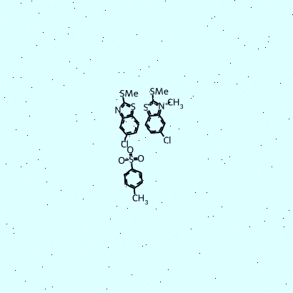 CSc1nc2cc(Cl)ccc2s1.CSc1sc2ccc(Cl)cc2[n+]1C.Cc1ccc(S(=O)(=O)[O-])cc1